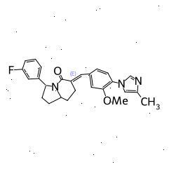 COc1cc(/C=C2\CCC3CCC(c4cccc(F)c4)N3C2=O)ccc1-n1cnc(C)c1